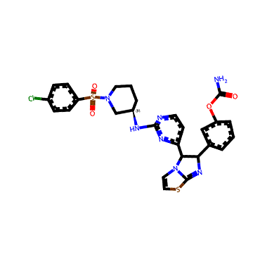 NC(=O)Oc1cccc(C2N=C3SC=CN3C2c2ccnc(N[C@@H]3CCCN(S(=O)(=O)c4ccc(Cl)cc4)C3)n2)c1